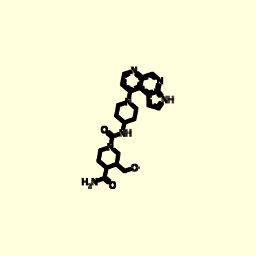 NC(=O)C1CCN(C(=O)NC2CCN(c3ccnc4cnc5[nH]ccc5c34)CC2)CC1C[O]